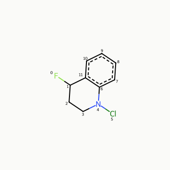 FC1CCN(Cl)c2ccccc21